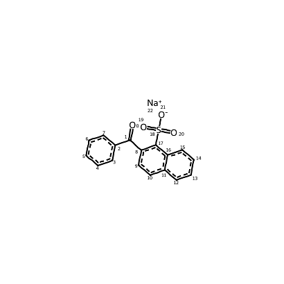 O=C(c1ccccc1)c1ccc2ccccc2c1S(=O)(=O)[O-].[Na+]